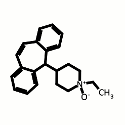 CC[N+]1([O-])CCC(C2c3ccccc3C=Cc3ccccc32)CC1